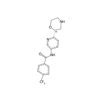 O=C(Nc1ccc([C@H]2CNCCO2)nc1)c1ccc(C(F)(F)F)cc1